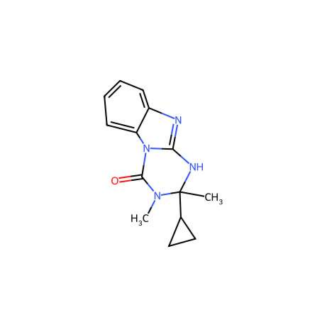 CN1C(=O)n2c(nc3ccccc32)NC1(C)C1CC1